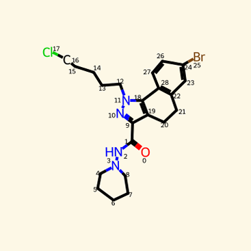 O=C(NN1CCCCC1)c1nn(CCCCCCl)c2c1CCc1cc(Br)ccc1-2